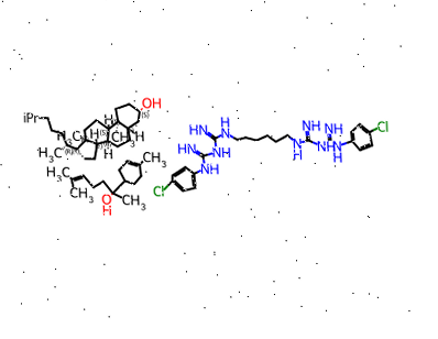 CC(C)=CCCC(C)(O)C1CC=C(C)CC1.CC(C)CCC[C@@H](C)[C@H]1CC[C@H]2[C@@H]3CC[C@H]4C[C@@H](O)CC[C@]4(C)[C@H]3CC[C@]12C.N=C(NCCCCCCNC(=N)NC(=N)Nc1ccc(Cl)cc1)NC(=N)Nc1ccc(Cl)cc1